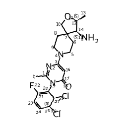 Cc1nc(N2CCC3(CC2)CO[C@@H](C)[C@H]3N)cc(=O)n1C1=C(F)C=C[C@H](Cl)C1Cl